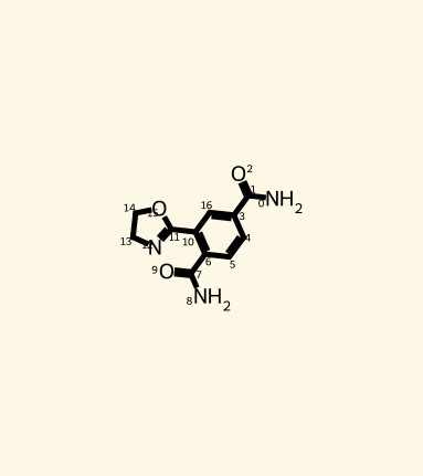 NC(=O)c1ccc(C(N)=O)c(C2=NCCO2)c1